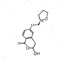 O=C1OC(O)Cc2cc(OC[C@H]3CCCO3)ccc21